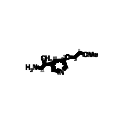 COCCOc1cncc(C(C)CN)c1